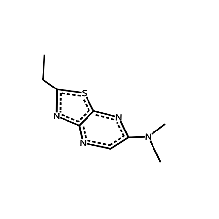 CCc1nc2ncc(N(C)C)nc2s1